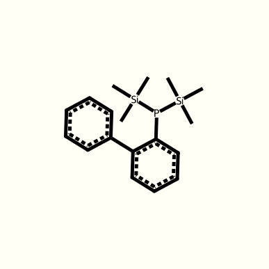 C[Si](C)(C)P(c1ccccc1-c1ccccc1)[Si](C)(C)C